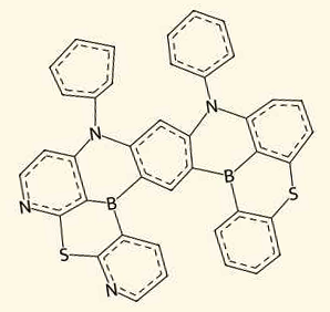 c1ccc(N2c3cc4c(cc3B3c5ccccc5Sc5cccc2c53)B2c3cccnc3Sc3nccc(c32)N4c2ccccc2)cc1